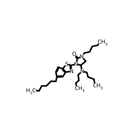 CCCCCCc1ccc2sc(N3C(=O)N(CCCCC)CC3N(CCCC)CCCC)nc2c1